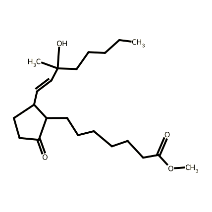 CCCCCC(C)(O)/C=C/C1CCC(=O)C1CCCCCCC(=O)OC